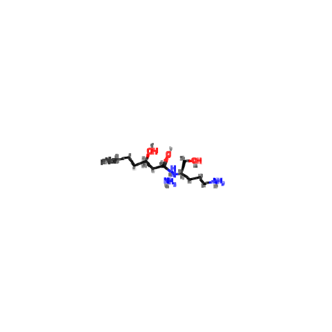 CCCCCCCCCCC[C@@H](O)CC(=O)N[C@@H](CO)CCCN.N